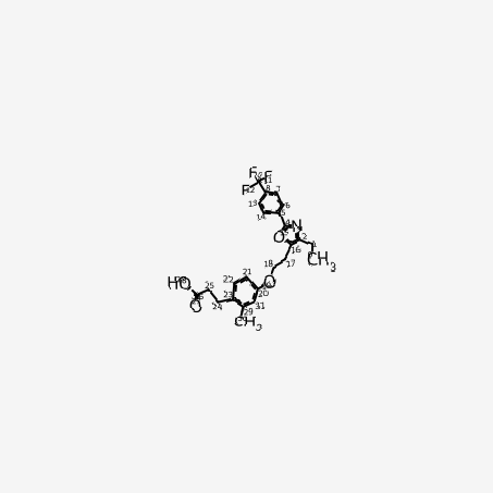 CCc1nc(-c2ccc(C(F)(F)F)cc2)oc1CCOc1ccc(CCC(=O)O)c(C)c1